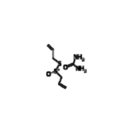 C=CCS[S+]([O-])CC=C.NC(N)=O